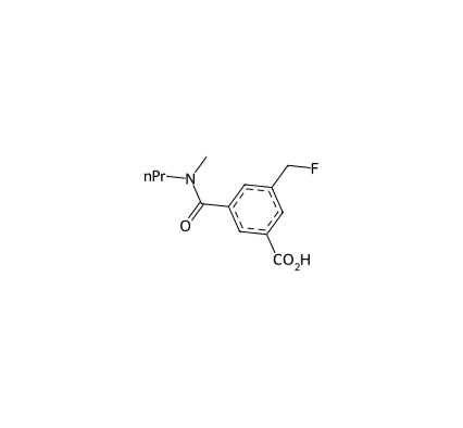 CCCN(C)C(=O)c1cc(CF)cc(C(=O)O)c1